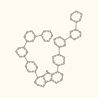 c1ccc(-c2cccc(-c3cccc(-c4ccc(-c5cccc6c5sc5c(-c7ccc(-c8cccc(-c9cccc(-c%10ccccc%10)c9)c8)cc7)cccc56)cc4)c3)c2)cc1